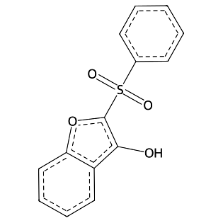 O=S(=O)(c1ccccc1)c1oc2ccccc2c1O